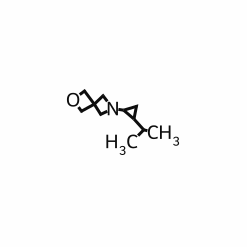 CC(C)C1CC1N1CC2(COC2)C1